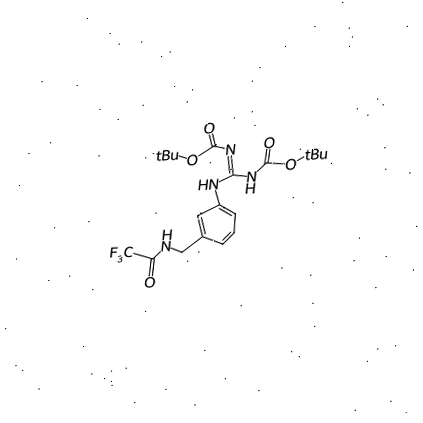 CC(C)(C)OC(=O)N=C(NC(=O)OC(C)(C)C)Nc1cccc(CNC(=O)C(F)(F)F)c1